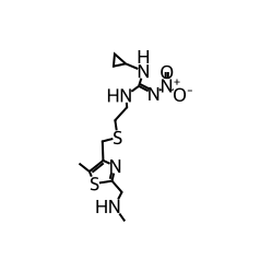 CNCc1nc(CSCCNC(=N[N+](=O)[O-])NC2CC2)c(C)s1